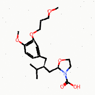 COCCCOc1cc(C[C@@H](CC2OCCN2C(=O)O)C(C)C)ccc1OC